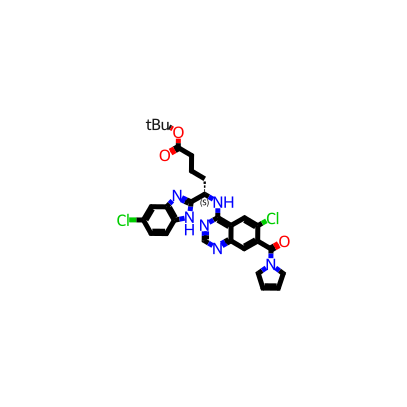 CC(C)(C)OC(=O)CCC[C@H](Nc1ncnc2cc(C(=O)N3CC=CC3)c(Cl)cc12)c1nc2cc(Cl)ccc2[nH]1